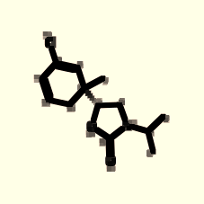 CC(C)N1C[C@@H](C2(C)C=C(Cl)C=CC2)OC1=O